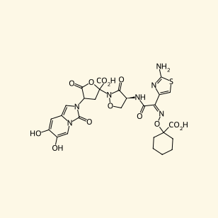 Nc1nc(/C(=N/OC2(C(=O)O)CCCCC2)C(=O)N[C@H]2CON(C3(C(=O)O)CC(n4cc5cc(O)c(O)cn5c4=O)C(=O)O3)C2=O)cs1